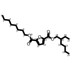 CCCCCCCCOC(=O)c1ccc(C(=O)OCC(CC)CCCC)o1